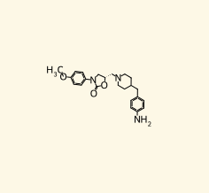 COc1ccc(N2C[C@H](CN3CCC(Cc4ccc(N)cc4)CC3)OC2=O)cc1